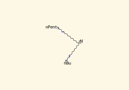 CCCC/C=C/C/C=C/CCCCCCCC1(CCCCCCCCC/C=C/C/C=C/CCCCC)CN(C)C1